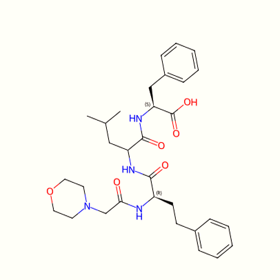 CC(C)CC(NC(=O)[C@@H](CCc1ccccc1)NC(=O)CN1CCOCC1)C(=O)N[C@@H](Cc1ccccc1)C(=O)O